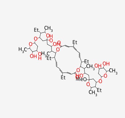 CCC1=C\C=C\C(CC)C(C(C)C(O)CC2(OC)CC(OC3CC(O)C(O)C(C)O3)C(CC)C(C)O2)OC(=O)/C=C/C(CC)=C/C=C/C(CC)C(C(C)C(O)CC2(O)CC(OC3CC(O)C(O)C(C)O3)C(CC)C(C)O2)OC(=O)\C=C\1